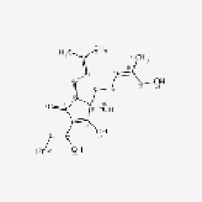 CC(C)=CC[C@@H]1C(=O)C(C(O)CC(C)C)=C(O)[C@]1(O)CCC=C(C)CO